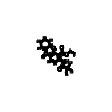 CCOC(=O)c1c(NC(=O)C(C)(C)C)ccc(OC)c1OC1CCCCO1